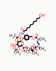 COC(=O)[C@H]1O[C@@H](Oc2ccc(COC(=O)N(C)CCN(C)C(=O)OC(C)(C)C)cc2NC(=O)CCCCCCCCCO)[C@H](OC(C)=O)[C@@H](O)[C@@H]1OC(C)=O